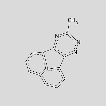 Cc1nnc2c(n1)-c1cccc3cccc-2c13